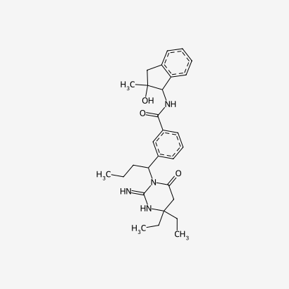 CCCC(c1cccc(C(=O)NC2c3ccccc3CC2(C)O)c1)N1C(=N)NC(CC)(CC)CC1=O